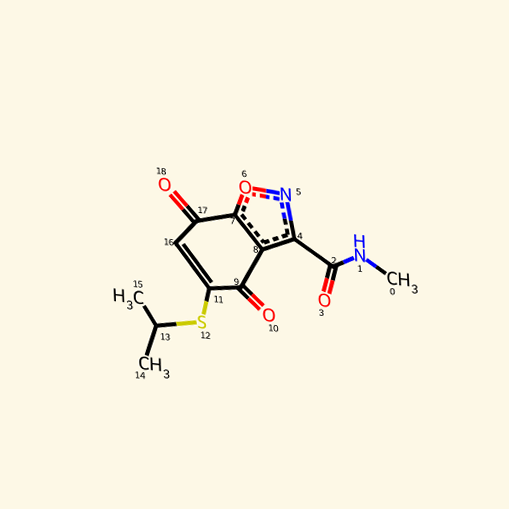 CNC(=O)c1noc2c1C(=O)C(SC(C)C)=CC2=O